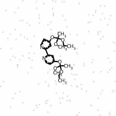 CCOC(C)(OC)Oc1ccnc(-c2cc(OC(C)(OC)OCC)ccn2)c1